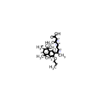 CCCOc1cc2c(cc1\C(C)=C/C=C/C(C)=C/C(=O)O)C(C)(C)C(C)CC2(C)C